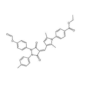 CCOC(=O)c1ccc(-n2c(C)cc(C=C3C(=O)N(c4ccc(C)cc4)N(c4ccc(OC=O)cc4)C3=O)c2C)cc1